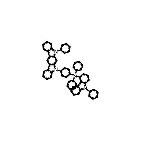 c1ccc(-n2c3ccccc3c3cc4c5ccccc5n(-c5ccc([Si](c6ccccc6)(c6ccccc6)c6cccc7c6c6ccccc6n7-c6ccccc6)cc5)c4cc32)cc1